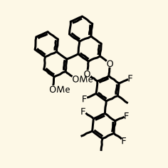 COc1cc2ccccc2c(-c2c3c(cc4ccccc24)Oc2c(F)c(C)c(-c4c(F)c(C)c(C)c(F)c4F)c(F)c2O3)c1OC